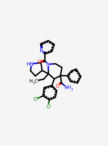 CCC1(C2CCNC2)C(c2ccc(Cl)c(Cl)c2)C(C(N)=O)(c2ccccc2)CCN1C(=O)c1ccccn1